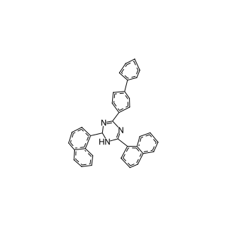 c1ccc(-c2ccc(C3=NC(c4cccc5ccccc45)NC(c4cccc5ccccc45)=N3)cc2)cc1